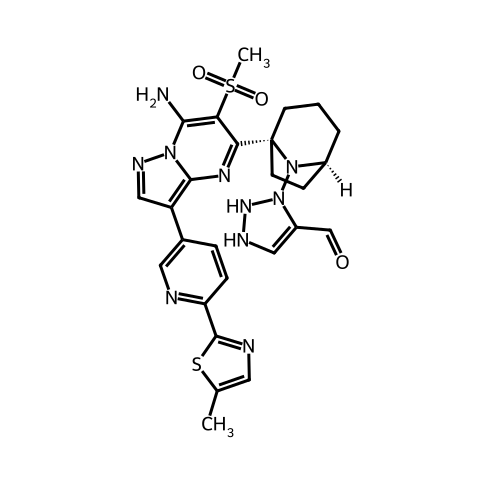 Cc1cnc(-c2ccc(-c3cnn4c(N)c(S(C)(=O)=O)c([C@@]56CCC[C@@H](CC5)N6N5NNC=C5C=O)nc34)cn2)s1